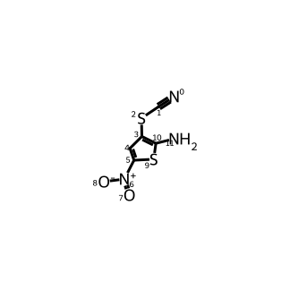 N#CSc1cc([N+](=O)[O-])sc1N